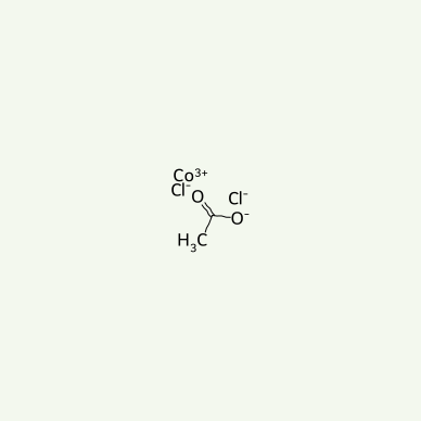 CC(=O)[O-].[Cl-].[Cl-].[Co+3]